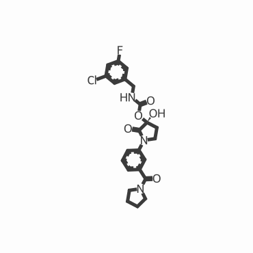 O=C(NCc1cc(F)cc(Cl)c1)O[C@@]1(O)CCN(c2cccc(C(=O)N3CCCC3)c2)C1=O